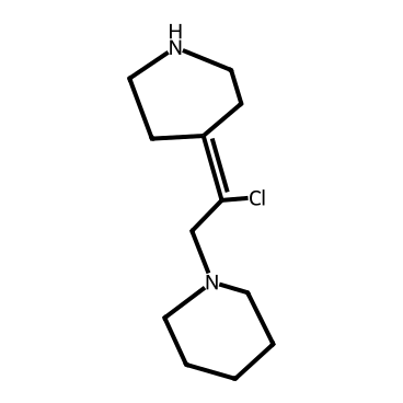 ClC(CN1CCCCC1)=C1CCNCC1